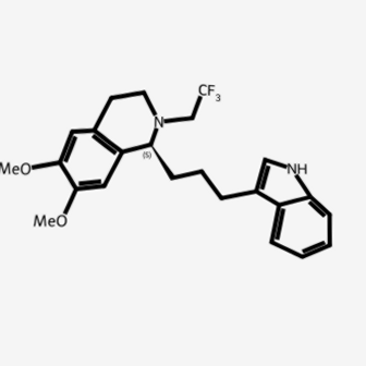 COc1cc2c(cc1OC)[C@H](CCCc1c[nH]c3ccccc13)N(CC(F)(F)F)CC2